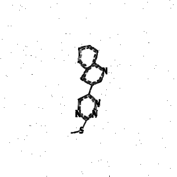 CSc1ncc(-c2cnc3ccccc3c2)nn1